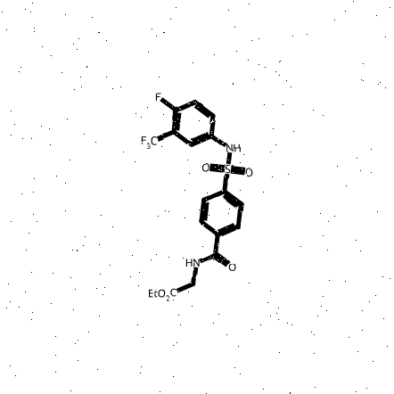 CCOC(=O)CNC(=O)c1ccc(S(=O)(=O)Nc2ccc(F)c(C(F)(F)F)c2)cc1